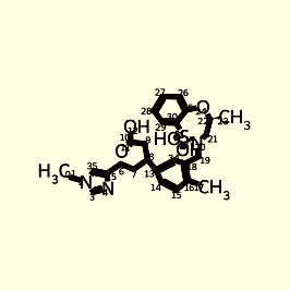 CCn1cnc(CCC(CC(=O)O)c2ccc(C)c(CN3C[C@@H](C)Oc4ccccc4S3(O)O)c2)c1